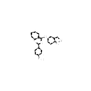 Oc1ccc(-c2nc(Nc3ccc4[nH]ncc4c3)c3ccccc3n2)cc1